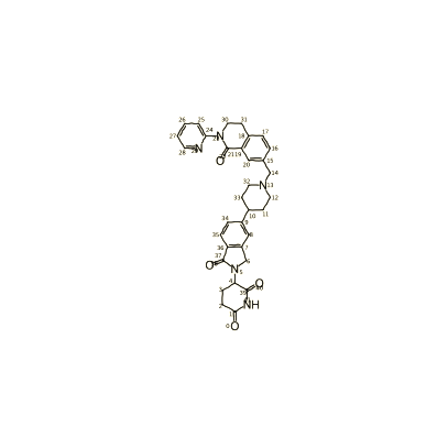 O=C1CCC(N2Cc3cc(C4CCN(Cc5ccc6c(c5)C(=O)N(c5ccccn5)CC6)CC4)ccc3C2=O)C(=O)N1